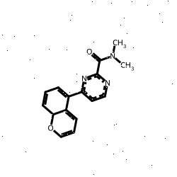 CN(C)C(=O)c1nccc(C2=CC=CC3OC=CC=C23)n1